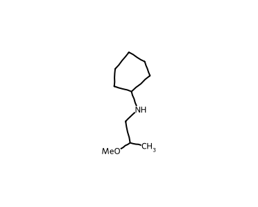 COC(C)CNC1CCCCC1